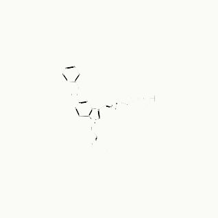 C=CCn1cc(C=NOCC(=O)O)c2cc(OCc3ccccc3)ccc21